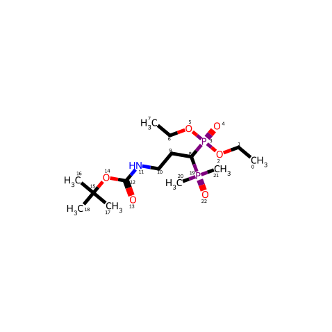 CCOP(=O)(OCC)C(CCNC(=O)OC(C)(C)C)P(C)(C)=O